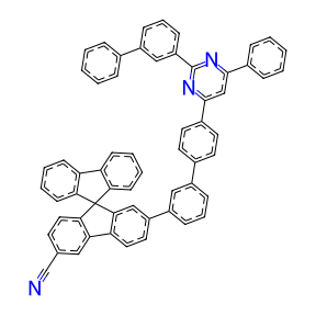 N#Cc1ccc2c(c1)-c1ccc(-c3cccc(-c4ccc(-c5cc(-c6ccccc6)nc(-c6cccc(-c7ccccc7)c6)n5)cc4)c3)cc1C21c2ccccc2-c2ccccc21